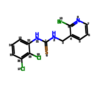 S=C(NCc1cccnc1Br)Nc1cccc(Cl)c1Cl